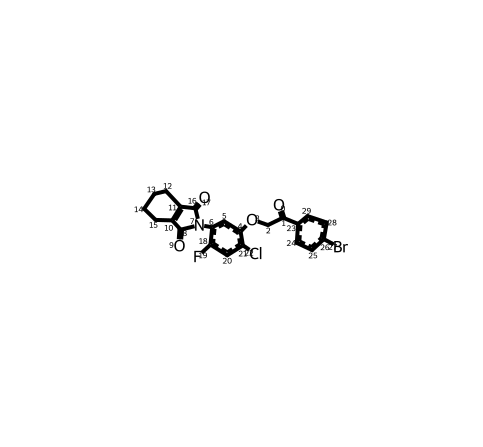 O=C(COc1cc(N2C(=O)C3=C(CCCC3)C2=O)c(F)cc1Cl)c1ccc(Br)cc1